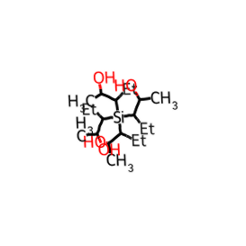 CCC(C(C)O)[Si](C(CC)C(C)O)(C(CC)C(C)O)C(CC)C(C)O